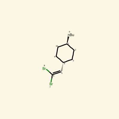 CCCC[C@H]1CC[C@H](C=C(Br)Br)CC1